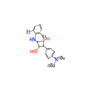 CCCCN(CCCC)c1ccc(C2C(O)C(Nc3c(CC)cccc3CC)C2O)cc1